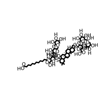 CC1O[C@@H](OC2C(O)[C@@H](NC(=O)CCCCCCCCCCC(=O)O)C(CO)O[C@H]2SC[C@]23CCC(C)(C)CC2C2=CCC4C5(C)CC[C@H](O[C@@H]6OC(C(=O)O)[C@@H](O)[C@H](O[C@@H]7OC[C@@H](O)[C@@H](O)C7O)C6O[C@@H]6OC(CO)[C@@H](O)[C@H](O)C6O)[C@](C)(C=O)[C@@H]5CC[C@]4(C)[C@]2(C)CC3O)C(O)C(O)[C@H]1O[C@@H]1OC[C@@H](O)C(O)C1O